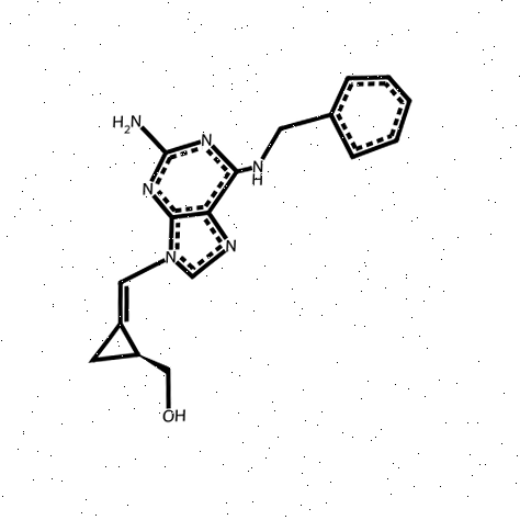 Nc1nc(NCc2ccccc2)c2ncn(/C=C3/C[C@@H]3CO)c2n1